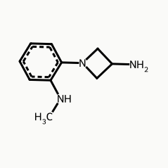 CNc1ccccc1N1CC(N)C1